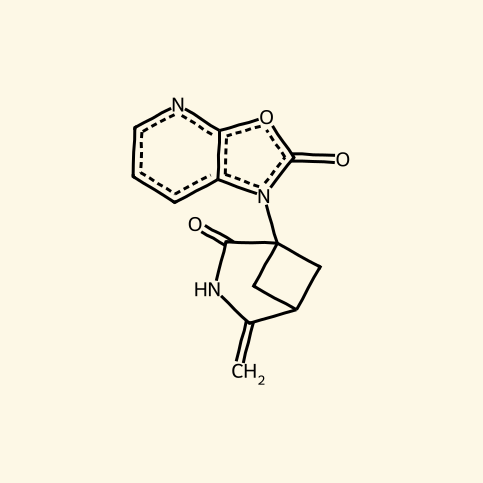 C=C1NC(=O)C2(n3c(=O)oc4ncccc43)CC1C2